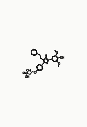 COc1cc(-c2nc(-c3ccc(OCCP(=O)(O)O)cc3)c(CCc3ccccc3)[nH]2)cc(OC)c1O